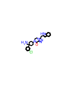 NCC1(c2cccc(Cl)c2)CCC(N2CCn3c(Cc4cc5ccccc5[nH]4)nnc3C2=O)CC1